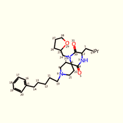 CC(C)CC1NC(=O)C2(CCN(CCCCCc3ccccc3)CC2)N(CC2CCCO2)C1=O